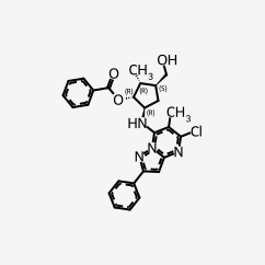 Cc1c(Cl)nc2cc(-c3ccccc3)nn2c1N[C@@H]1C[C@H](CO)[C@@H](C)[C@H]1OC(=O)c1ccccc1